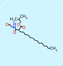 CCCCCCCCCCCCCCC(C(=O)NCC=O)C(=O)OCC(C)C